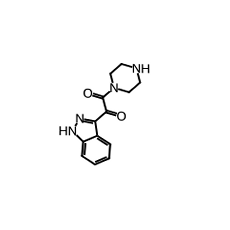 O=C(C(=O)N1CCNCC1)c1n[nH]c2ccccc12